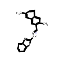 Cc1ccc2cc(C)c(/C=N/Nc3nc4ccccc4s3)cc2c1